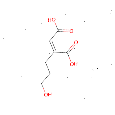 O=C(O)C=C(CCCO)C(=O)O